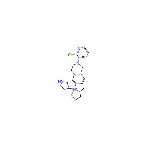 C[C@H]1CCC[N+]1(c1ccc2c(c1)CCN(c1cccnc1Cl)C2)[C@H]1CCNC1